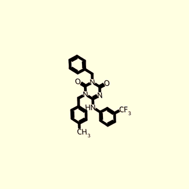 Cc1ccc(Cn2c(Nc3cccc(C(F)(F)F)c3)nc(=O)n(Cc3ccccc3)c2=O)cc1